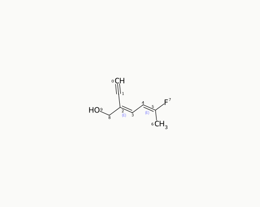 C#C/C(=C\C=C(/C)F)CO